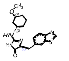 CO[C@H]1CCC[C@H](NC2=N/C(=C\c3ccc4ncsc4c3)C(=O)N2)C1